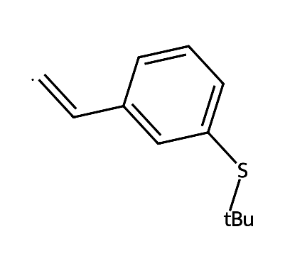 [CH]=Cc1cccc(SC(C)(C)C)c1